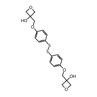 OC1(COc2ccc(SSc3ccc(OCC4(O)COC4)cc3)cc2)COC1